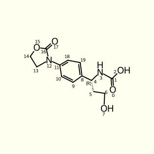 O=C(O)N[C@H](CCO)c1ccc(N2CCOC2=O)cc1